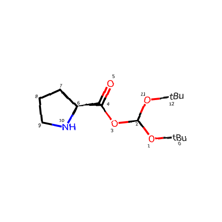 CC(C)(C)OC(OC(=O)[C@@H]1CCCN1)OC(C)(C)C